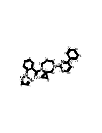 O=C(c1ccccc1-n1nccn1)N1CCCN(c2nccc(-c3ccccc3)n2)CC12CC2